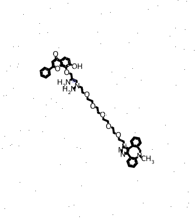 CN1Cc2ccccc2-c2c(nnn2CCOCCOCCOCCOCCOCCN(N)/C=C(\N)COc2c(O)ccc3c(=O)cc(-c4ccccc4)oc23)-c2ccccc21